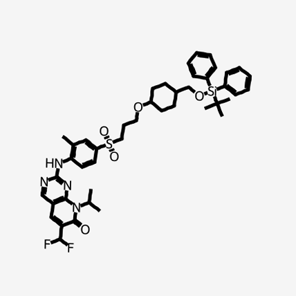 Cc1cc(S(=O)(=O)CCCOC2CCC(CO[Si](c3ccccc3)(c3ccccc3)C(C)(C)C)CC2)ccc1Nc1ncc2cc(C(F)F)c(=O)n(C(C)C)c2n1